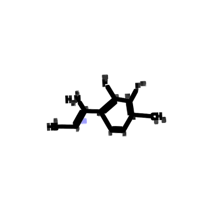 Cc1ccc(/C(N)=C/S)c(F)c1F